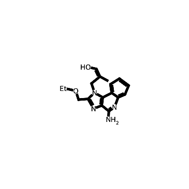 CCOCc1nc2c(N)nc3ccccc3c2n1C/C(C)=C\O